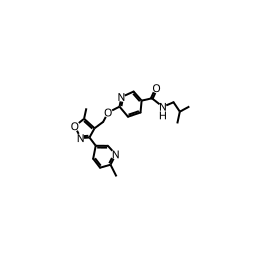 Cc1ccc(-c2noc(C)c2COc2ccc(C(=O)NCC(C)C)cn2)cn1